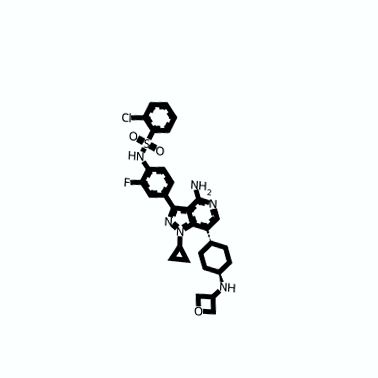 Nc1ncc([C@H]2CC[C@H](NC3COC3)CC2)c2c1c(-c1ccc(NS(=O)(=O)c3ccccc3Cl)c(F)c1)nn2C1CC1